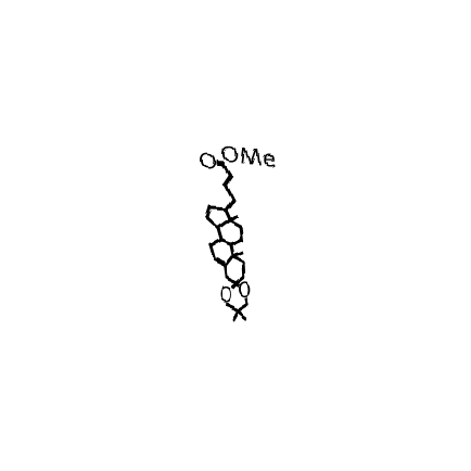 COC(=O)CCCC1CCC2C3CC=C4CC5(CCC4(C)C3CCC12C)OCC(C)(C)CO5